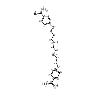 N=C(N)c1ccc(OCCCNCCNCCOc2ccc(C(=N)N)cc2)cc1